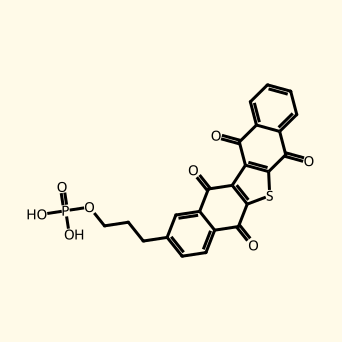 O=c1c2ccccc2c(=O)c2c1sc1c(=O)c3ccc(CCCOP(=O)(O)O)cc3c(=O)c12